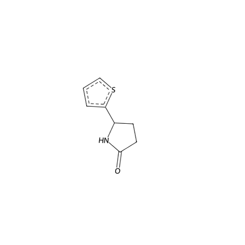 O=C1CCC(c2cccs2)N1